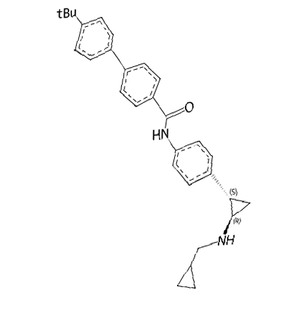 CC(C)(C)c1ccc(-c2ccc(C(=O)Nc3ccc([C@@H]4C[C@H]4NCC4CC4)cc3)cc2)cc1